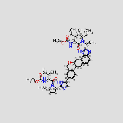 CC[C@H]1[C@@H](C)[C@@H](CC)N([C@@H](C)c2nc3ccc4cc5c(cc4c3[nH]2)OCc2cc(-c3cnc([C@@H]4CC[C@H](C)N4C(=O)[C@@H](NC(=O)OC)C(C)C)[nH]3)ccc2-5)C(=O)[C@H]1NC(=O)OC